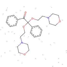 O=C(c1ccccc1)C(OCCN1CCOCC1)(OCCN1CCOCC1)c1ccccc1